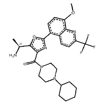 COc1ccc(-c2nc(C(=O)N3CCN(C4CCCCC4)CC3)c([C@H](C)N)o2)c2ccc(C(F)(F)F)nc12